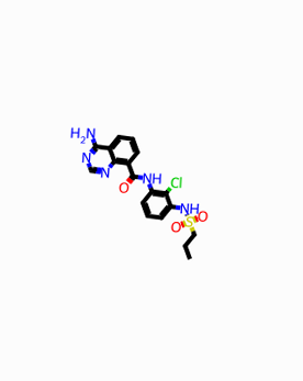 CCCS(=O)(=O)Nc1cccc(NC(=O)c2cccc3c(N)ncnc23)c1Cl